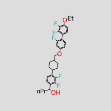 CCCC(O)c1ccc(C2CCC(COc3ccc(-c4ccc(OCC)c(F)c4F)c(F)c3)CC2)c(F)c1F